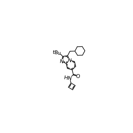 CC(C)(C)c1nc2cc(C(=O)NC3=CC=C3)ccn2c1CC1CCCCC1